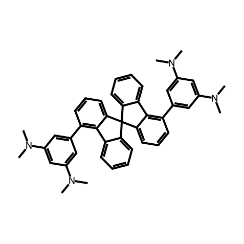 CN(C)c1cc(-c2cccc3c2-c2ccccc2C32c3ccccc3-c3c(-c4cc(N(C)C)cc(N(C)C)c4)cccc32)cc(N(C)C)c1